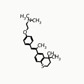 CC(=Cc1ccc(OCCN(C)C)cc1)c1ccc2c(c1)C(C)(C)CCS2